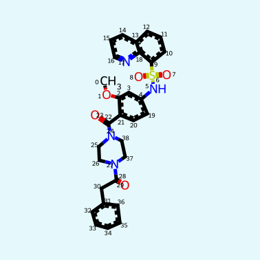 COc1cc(NS(=O)(=O)c2cccc3cccnc23)ccc1C(=O)N1CCN(C(=O)Cc2ccccc2)CC1